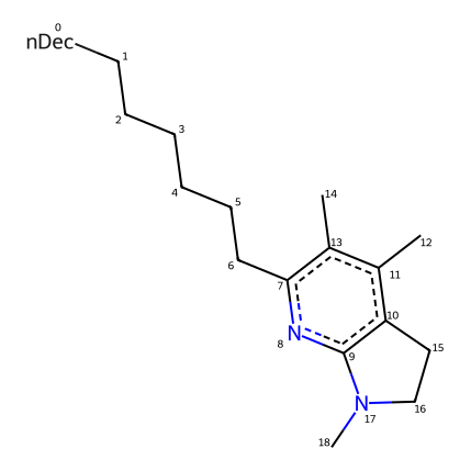 CCCCCCCCCCCCCCCCc1nc2c(c(C)c1C)CCN2C